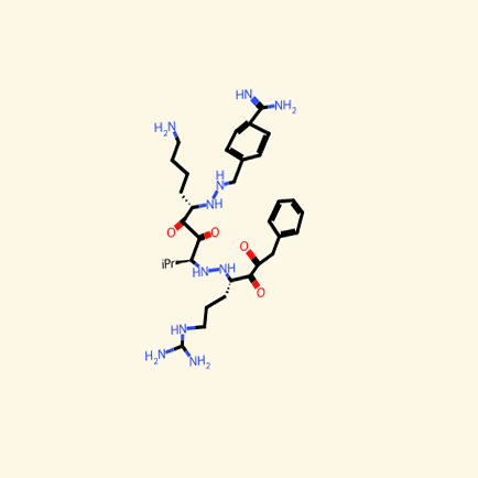 CC(C)[C@H](NN[C@@H](CCCNC(N)N)C(=O)C(=O)Cc1ccccc1)C(=O)C(=O)[C@H](CCCCN)NNCc1ccc(C(=N)N)cc1